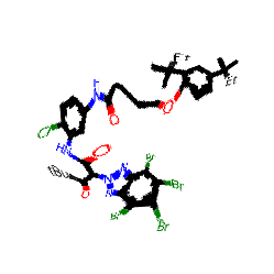 CCC(C)(C)c1ccc(OCCCC(=O)Nc2ccc(Cl)c(NC(=O)C(C(=O)C(C)(C)C)n3nc4c(Br)c(Br)c(Br)c(Br)c4n3)c2)c(C(C)(C)CC)c1